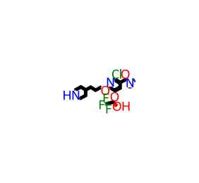 CN(C)C(=O)c1ccc(OCCCC2CCNCC2)nc1Cl.O=C(O)C(F)(F)F